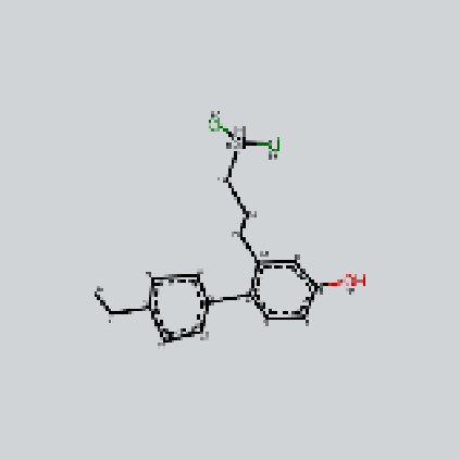 CCc1ccc(-c2ccc(O)cc2CCC[SiH](Cl)Cl)cc1